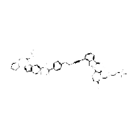 CN1CCC[C@@H]1c1cc2cnc(NC(=O)c3ccc(CCC#Cc4cccc5c4CN(C4CCC(=O)N(COCC[Si](C)(C)C)C4=O)C5=O)cc3)cc2n1C(=O)OC(C)(C)C